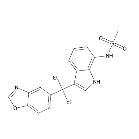 CCC(CC)(c1ccc2ocnc2c1)c1c[nH]c2c(NS(C)(=O)=O)cccc12